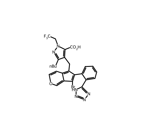 CCCCc1nn(CC(F)(F)F)c(C(=O)O)c1Cc1c2ccocc-2c(Br)c1-c1ccccc1-c1nnn[nH]1